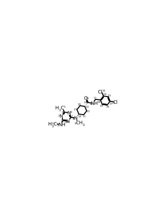 CNc1nc(C)nc(N(C)[C@H]2CC[C@@H](C(=O)NCc3ccc(Cl)cc3Cl)CC2)n1